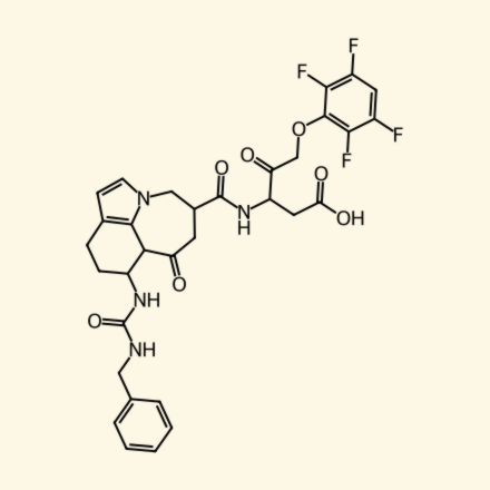 O=C(O)CC(NC(=O)C1CC(=O)C2c3c(ccn3C1)CCC2NC(=O)NCc1ccccc1)C(=O)COc1c(F)c(F)cc(F)c1F